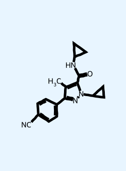 Cc1c(-c2ccc(C#N)cc2)nn(C2CC2)c1C(=O)NC1CC1